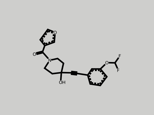 O=C(c1ccoc1)N1CCC(O)(C#Cc2cccc(OC(F)F)c2)CC1